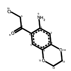 Nc1cc2c(cc1C(=O)CCl)OCCO2